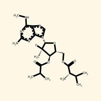 CNc1nc(N)nc2c1ncn2[C@@H]1O[C@H](COC(=O)[C@@H](N)C(C)C)[C@@H](OC(=O)C(C)C)[C@@]1(C)F